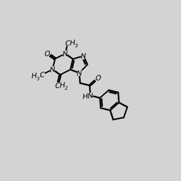 C=C1c2c(ncn2CC(=O)Nc2ccc3c(c2)CCC3)N(C)C(=O)N1C